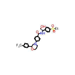 CCS(=O)(=O)c1ccc([C@H](CO)NC(=O)c2ccc(N3CCCOC(c4ccc(C(F)(F)F)cc4)C3)cc2)cc1